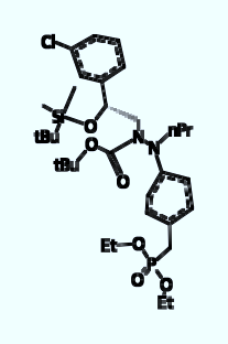 CCCN(c1ccc(CP(=O)(OCC)OCC)cc1)N(C[C@H](O[Si](C)(C)C(C)(C)C)c1cccc(Cl)c1)C(=O)OC(C)(C)C